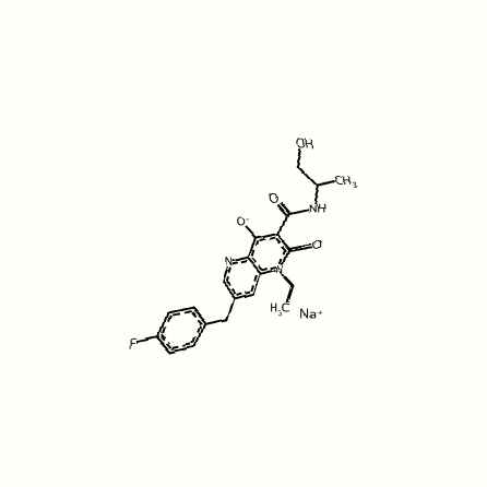 CCn1c(=O)c(C(=O)NC(C)CO)c([O-])c2ncc(Cc3ccc(F)cc3)cc21.[Na+]